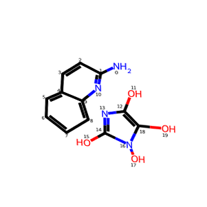 Nc1ccc2ccccc2n1.Oc1nc(O)n(O)c1O